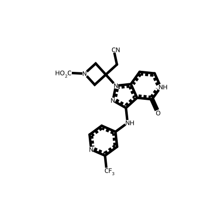 N#CCC1(n2nc(Nc3ccnc(C(F)(F)F)c3)c3c(=O)[nH]ccc32)CN(C(=O)O)C1